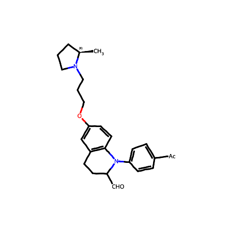 CC(=O)c1ccc(N2c3ccc(OCCCN4CCC[C@H]4C)cc3CCC2C=O)cc1